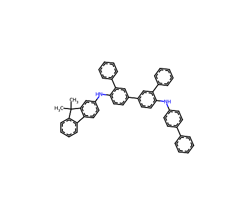 CC1(C)c2ccccc2-c2ccc(Nc3ccc(-c4ccc(Nc5ccc(-c6ccccc6)cc5)c(-c5ccccc5)c4)cc3-c3ccccc3)cc21